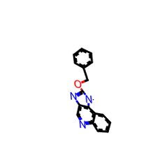 c1ccc(COC2=Nc3cnc4ccccc4c3[N]2)cc1